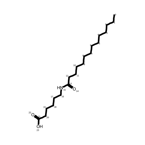 CCCCCCCCCCCCCC(=O)NCCCCCC(=O)O